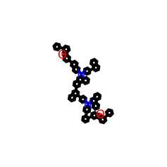 c1ccc(-c2cccc3c2oc2ccc(-c4ccc5cc(N(c6ccc(-c7cccc8ccccc78)cc6)c6cc7ccc(-c8cc(-c9ccc(N(c%10ccc(-c%11ccccc%11-c%11ccc%12oc%13c(-c%14ccccc%14)cccc%13c%12c%11)cc%10)c%10cc%11ccccc%11c%11ccccc%10%11)cc9)c9ccccc9c8)cc7c7ccccc67)ccc5c4)cc23)cc1